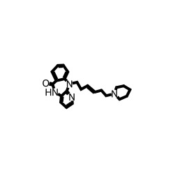 O=C1Nc2cccnc2N(CCC=CCCN2CCCCC2)c2ccccc21